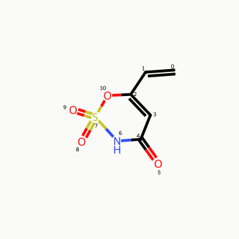 C=CC1=CC(=O)NS(=O)(=O)O1